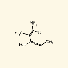 CC=C=C(C)/C(C)=C(/N)CC